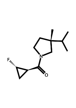 CC(C)[C@@]1(C)CCN(C(=O)[C@H]2C[C@@H]2F)C1